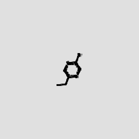 CCc1cnc(Br)cn1